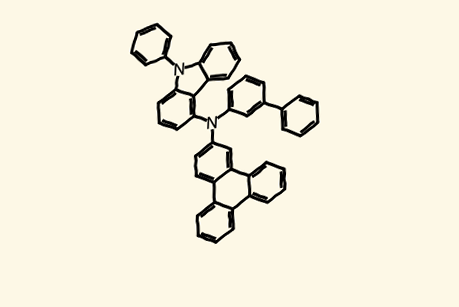 c1ccc(-c2cccc(N(c3ccc4c5ccccc5c5ccccc5c4c3)c3cccc4c3c3ccccc3n4-c3ccccc3)c2)cc1